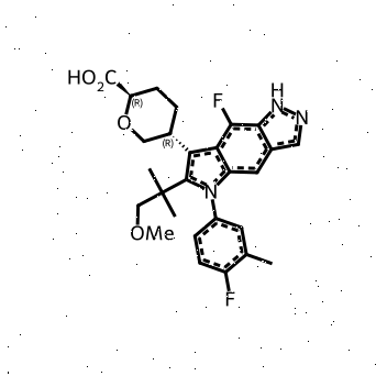 COCC(C)(C)c1c([C@H]2CC[C@H](C(=O)O)OC2)c2c(F)c3[nH]ncc3cc2n1-c1ccc(F)c(C)c1